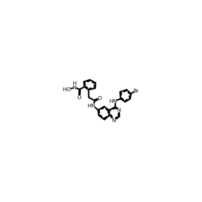 O=C(Cc1ccccc1C(=O)NO)Nc1ccc2ncnc(Nc3ccc(Br)cc3)c2c1